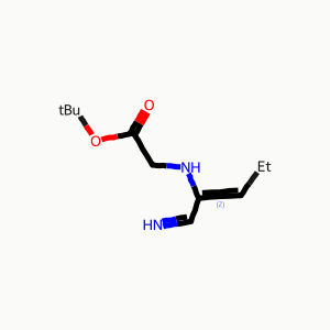 CC/C=C(/C=N)NCC(=O)OC(C)(C)C